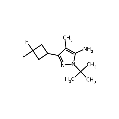 Cc1c(C2CC(F)(F)C2)nn(C(C)(C)C)c1N